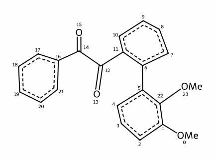 COc1cccc(-c2ccccc2C(=O)C(=O)c2ccccc2)c1OC